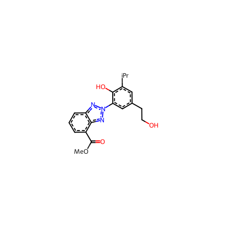 COC(=O)c1cccc2nn(-c3cc(CCO)cc(C(C)C)c3O)nc12